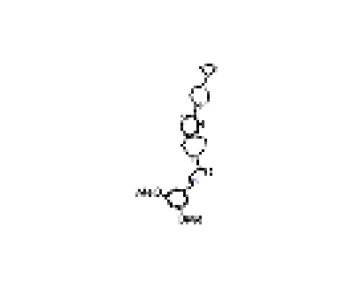 COc1cc(/C=C/C(=O)N2CCc3cnc(N4CCN(C5CCC5)CC4)nc3CC2)cc(OC)c1